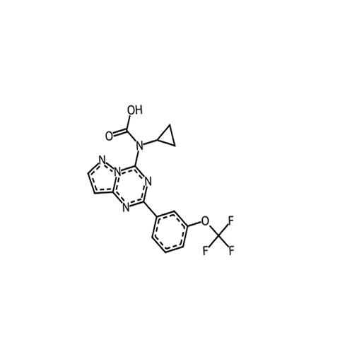 O=C(O)N(c1nc(-c2cccc(OC(F)(F)F)c2)nc2ccnn12)C1CC1